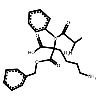 CC(N)C(=O)N(c1ccccc1)C(CCCCN)(C(=O)O)C(=O)OCc1ccccc1